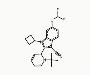 CC(C)(C)N1C=CC=CC1c1c(C#N)c2ccc(OC(F)F)cc2n1C1CCC1